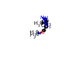 CCN(CC)CCOc1ccc(C2CCN(Cc3cc4cnc(C#N)nc4n3CC(C)(C)C)CC2)cc1